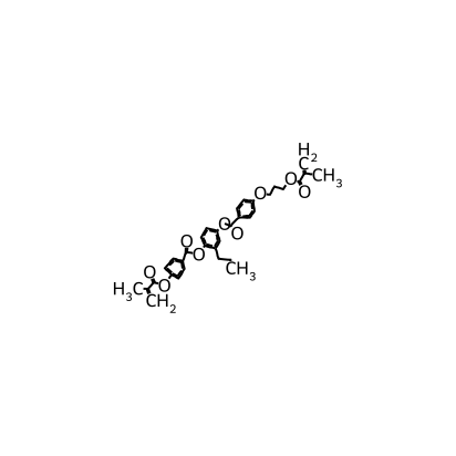 C=C(C)C(=O)OCCCOc1ccc(C(=O)Oc2ccc(OC(=O)c3ccc(OC(=O)C(=C)C)cc3)c(CCC)c2)cc1